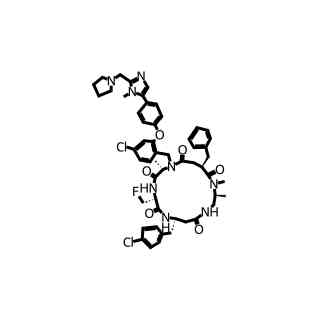 C[C@H]1CNC(=O)C[C@H](Cc2ccc(Cl)cc2)NC(=O)[C@H](CF)NC(=O)[C@H](C)N(Cc2ccc(Cl)cc2Oc2ccc(-c3cnc(CN4CCCC4)n3C)cc2)C(=O)C[C@@H](Cc2ccccc2)C(=O)N1C